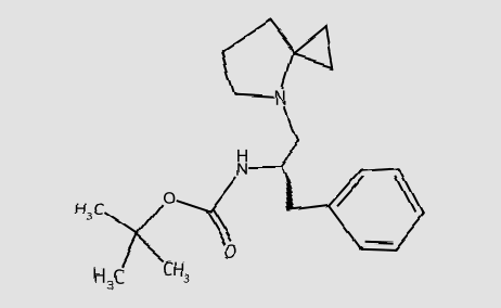 CC(C)(C)OC(=O)N[C@H](Cc1ccccc1)CN1CCCC12CC2